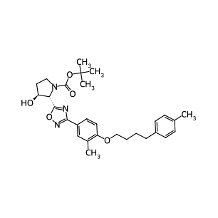 Cc1ccc(CCCCOc2ccc(-c3noc([C@@H]4[C@@H](O)CCN4C(=O)OC(C)(C)C)n3)cc2C)cc1